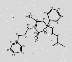 CC(C)CCCC1(c2ccccc2)CC(O)=C(SCCc2ccccc2)C(=O)O1